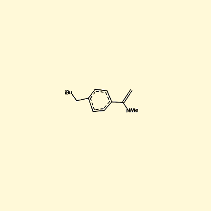 C=C(NC)c1ccc(CC(C)CC)cc1